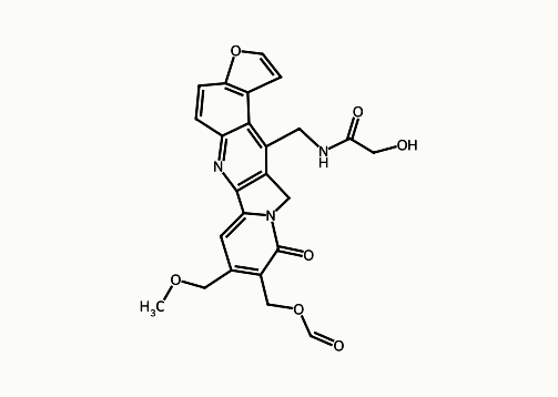 COCc1cc2n(c(=O)c1COC=O)Cc1c-2nc2ccc3occc3c2c1CNC(=O)CO